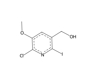 COc1cc(CO)c(I)nc1Cl